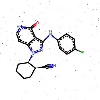 N#C[C@H]1CCCC[C@H]1n1nc(Nc2ccc(F)cc2)c2c(=O)[nH]ccc21